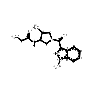 CCC(=O)NC1CN(C(=O)c2nn(C)c3ccccc23)CC1C